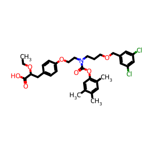 CCOC(Cc1ccc(OCCN(CCCOCc2cc(Cl)cc(Cl)c2)C(=O)Oc2cc(C)c(C)cc2C)cc1)C(=O)O